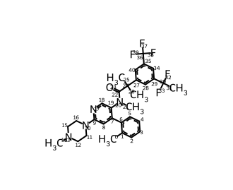 Cc1ccccc1-c1cc(N2CCN(C)CC2)ncc1N(C)C(=O)C(C)(C)c1cc(C(C)(F)F)cc(C(F)(F)F)c1